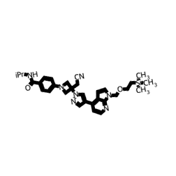 CC(C)NC(=O)c1ccc(N2CC(CC#N)(n3cc(-c4ccnc5c4ccn5COCC[Si](C)(C)C)cn3)C2)cc1